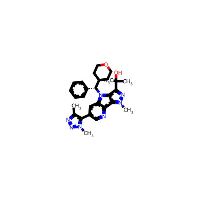 Cc1nnn(C)c1-c1cnc2c3c(c(C(C)(C)O)nn3C)n([C@H](c3ccccc3)C3CCOCC3)c2c1